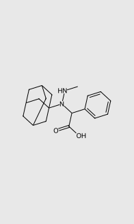 CNN(C(C(=O)O)c1ccccc1)C12CC3CC(CC(C3)C1)C2